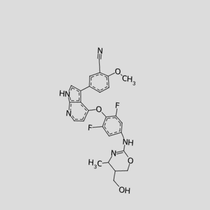 COc1ccc(-c2c[nH]c3nccc(Oc4c(F)cc(NC5=NC(C)C(CO)CO5)cc4F)c23)cc1C#N